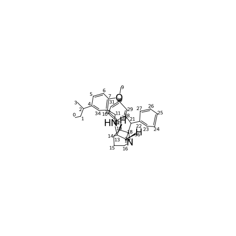 CCC(C)c1ccc(OC)c(CN[C@H]2C3CCN(CC3)[C@H]2C(c2ccccc2)c2ccccc2)c1